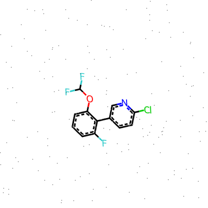 Fc1cccc(OC(F)F)c1-c1ccc(Cl)nc1